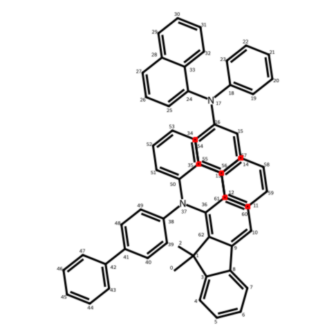 CC1(C)c2ccccc2-c2ccc(-c3ccc(N(c4ccccc4)c4cccc5ccccc45)cc3)c(N(c3ccc(-c4ccccc4)cc3)c3ccccc3-c3ccccc3)c21